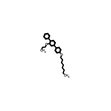 CCCCCCCCOc1ccc(-c2ccc(-c3ccccc3)c(OCCC)c2)cc1